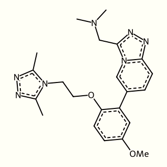 COc1ccc(OCCn2c(C)nnc2C)c(-c2ccc3nnc(CN(C)C)n3c2)c1